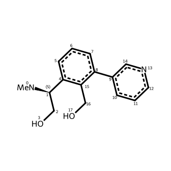 CN[C@H](CO)c1cccc(-c2cccnc2)c1CO